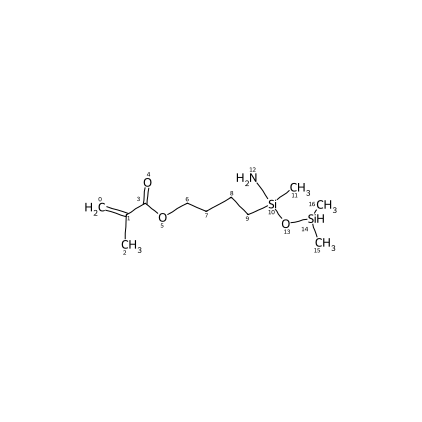 C=C(C)C(=O)OCCCC[Si](C)(N)O[SiH](C)C